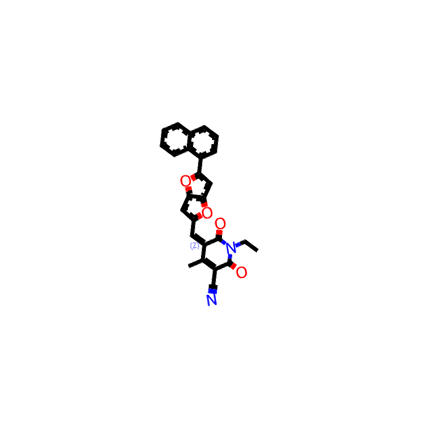 CCN1C(=O)C(C#N)=C(C)/C(=C/c2cc3oc(-c4cccc5ccccc45)cc3o2)C1=O